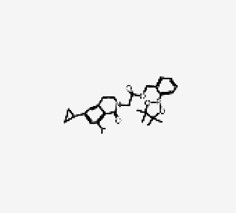 CC1(C)OB(c2ccccc2COC(=O)CN2CCc3cc(C4CC4)cc(F)c3C2=O)OC1(C)C